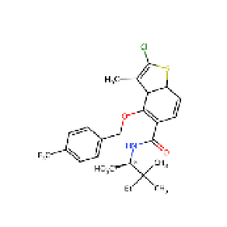 CCC(C)(C)[C@H](NC(=O)C1=C(OCc2ccc(C(F)(F)F)cc2)C2C(C)=C(Cl)SC2C=C1)C(=O)O